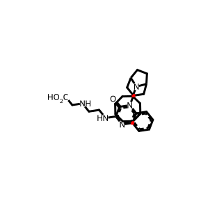 O=C(O)CNCCNc1nc2ccccc2n(C2CC3CCC(C2)N3C2CCCCCCC2)c1=O